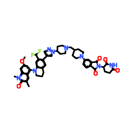 COc1cc(N2CCCc3cc(-c4cnn(C5CCN(CC6CCN(c7ccc8c(c7)C(=O)N(C7CCC(=O)NC7=O)C8=O)CC6)CC5)c4)c(C(F)F)cc32)c2cc(C)c(=O)n(C)c2c1